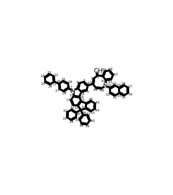 C=C1/C=C(c2ccc3c(c2)c2c4c(ccc2n3-c2ccc(-c3ccccc3)cc2)C(c2ccccc2)(c2ccccc2)c2ccccc2-4)\C=C/N(c2ccc3ccccc3c2)c2ccccc21